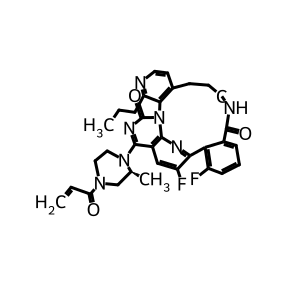 C=CC(=O)N1CCN(c2nc(=O)n3c4nc(c(F)cc24)-c2c(F)cccc2C(=O)NCCCc2ccnc(CCC)c2-3)[C@@H](C)C1